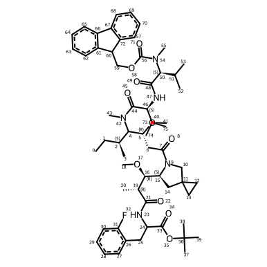 CC[C@H](C)C([C@@H](CC(=O)N1CC2(CC2)C[C@H]1[C@H](OC)[C@@H](C)C(=O)NC(Cc1ccccc1F)C(=O)OC(C)(C)C)OC)N(C)C(=O)[C@@H](NC(=O)[C@H](C(C)C)N(C)C(=O)OCC1c2ccccc2-c2ccccc21)C(C)C